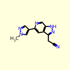 Cn1cc(-c2cc3c(CC#N)n[nH]c3cn2)cn1